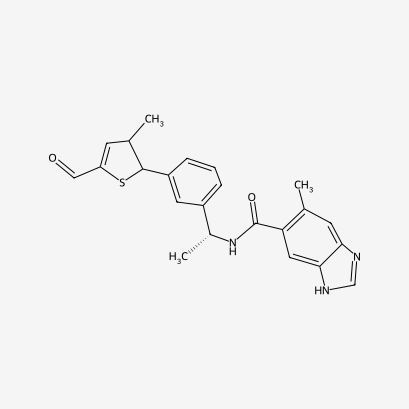 Cc1cc2nc[nH]c2cc1C(=O)N[C@H](C)c1cccc(C2SC(C=O)=CC2C)c1